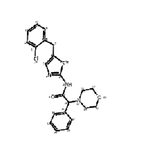 O=C(Nc1ncc(Cc2ccccc2Cl)s1)C(c1ccccc1)N1CCOCC1